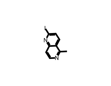 Cc1nccc2nc(I)ccc12